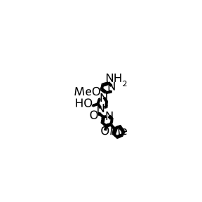 COc1cc(C(=O)N2CCN(c3cnc(N)cc3OC)CC2CO)ncc1-c1ccccc1